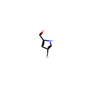 O=Cc1cc(Cl)c[nH]1